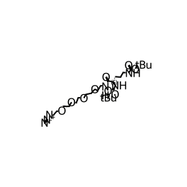 CC(C)(C)OC(=O)NCCC[C@H](NC(=O)OC(C)(C)C)C(=O)NCCOCCOCCOCCOCCN=[N+]=[N-]